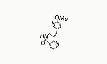 COc1ccc(C=C2CNC(=O)c3cccnc32)cn1